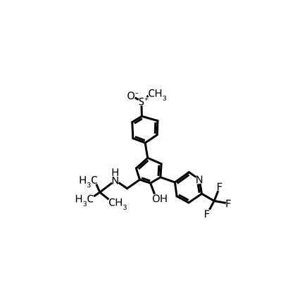 C[S+]([O-])c1ccc(-c2cc(CNC(C)(C)C)c(O)c(-c3ccc(C(F)(F)F)nc3)c2)cc1